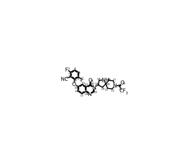 N#Cc1c(F)ccc(F)c1Oc1ccc2ncn([C@H]3CNC4(CCN(C(=O)C(F)(F)F)CC4)C3)c(=O)c2c1